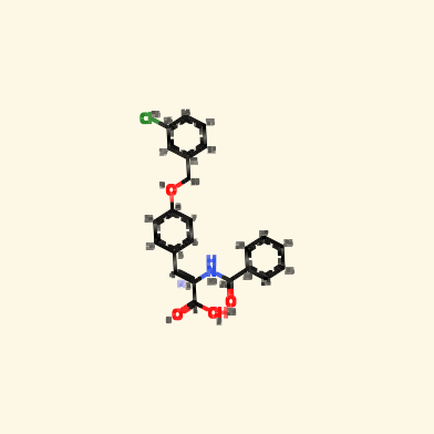 O=C(O)/C(=C/c1ccc(OCc2cccc(Cl)c2)cc1)NC(=O)c1ccccc1